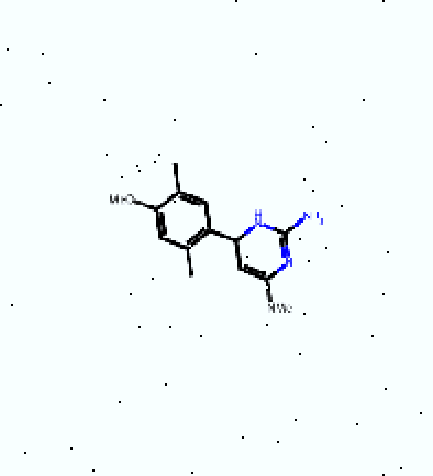 CNC1=CC(c2cc(C)c(OC)cc2C)NC(N)=N1